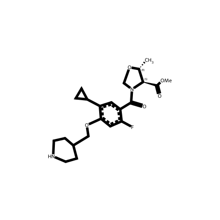 COC(=O)[C@@H]1[C@@H](C)OCN1C(=O)c1cc(C2CC2)c(OCC2CCNCC2)cc1F